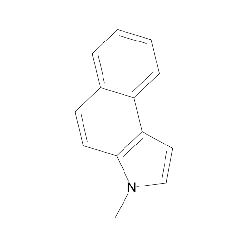 Cn1ccc2c3ccccc3ccc21